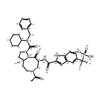 CC(=O)N1CC[C@H]2CC[C@@H](C(=O)N(Cc3ccccc3)C3CCCCC3)N2C(=O)[C@@H](NC(=O)c2cc3cc(C(F)(F)P(=O)(O)O)ccc3[nH]2)C1